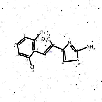 Nc1nc(/C(=C/c2c(Cl)cccc2Cl)C(=O)O)cs1